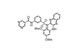 COc1cc(Nc2nc3ccccc3nc2NS(=O)(=O)c2cccc(NC(=O)c3cncnc3)c2)cc(OC)c1